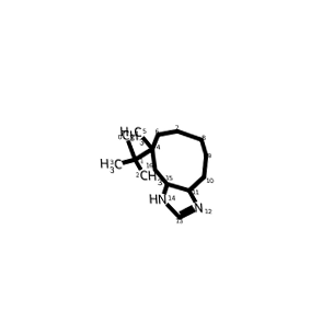 CC(C)(C)C1(C)CCCCCC2N=CNC2C1